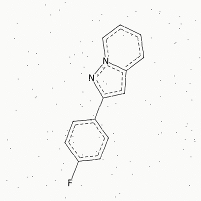 Fc1ccc(-c2cc3ccccn3n2)cc1